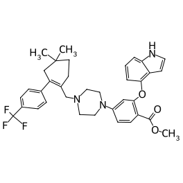 COC(=O)c1ccc(N2CCN(CC3=C(c4ccc(C(F)(F)F)cc4)CC(C)(C)CC3)CC2)cc1Oc1cccc2[nH]ccc12